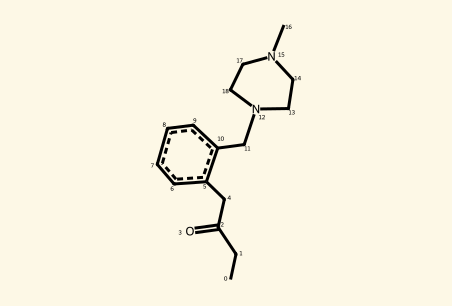 CCC(=O)Cc1ccccc1CN1CCN(C)CC1